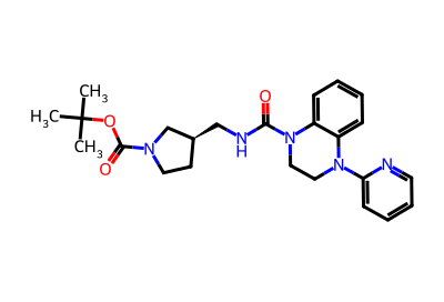 CC(C)(C)OC(=O)N1CC[C@H](CNC(=O)N2CCN(c3ccccn3)c3ccccc32)C1